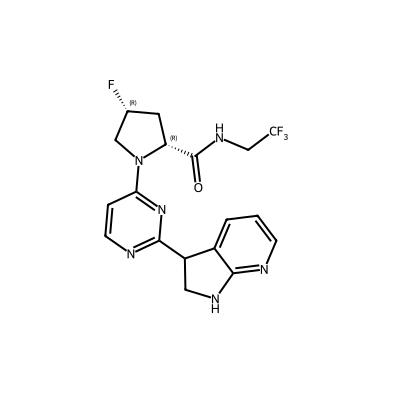 O=C(NCC(F)(F)F)[C@H]1C[C@@H](F)CN1c1ccnc(C2CNc3ncccc32)n1